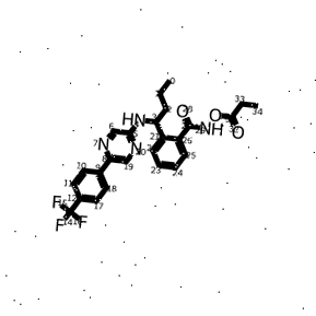 CCCC(Nc1cnc(-c2ccc(C(F)(F)F)cc2)cn1)c1ccccc1C(=O)NOC(=O)CC